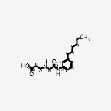 CCCCCCc1cccc(NC(=O)CNCCC(=O)O)c1